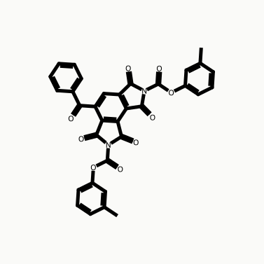 Cc1cccc(OC(=O)n2c(=O)c3cc(C(=O)c4ccccc4)c4c(=O)n(C(=O)Oc5cccc(C)c5)c(=O)c4c3c2=O)c1